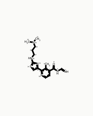 Cc1c(C(=O)NC=N)ccnc1-c1csc(NCCCN(C)C)n1